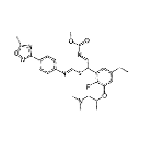 CCc1cc(OC(C)CN(C)C)c(F)c(C(C=NC(=O)OC)SC=Nc2ccc(-c3noc(C)n3)cc2)c1